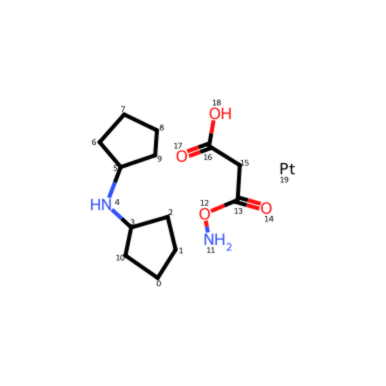 C1CCC(NC2CCCC2)C1.NOC(=O)CC(=O)O.[Pt]